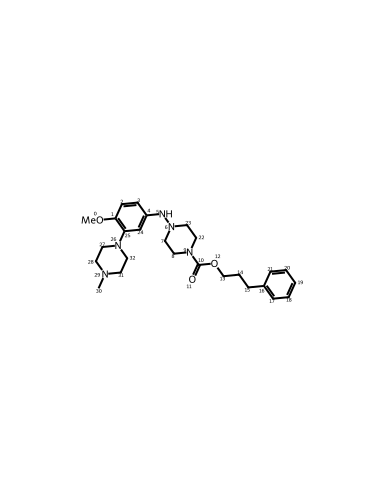 COc1ccc(NN2CCN(C(=O)OCCCc3ccccc3)CC2)cc1N1CCN(C)CC1